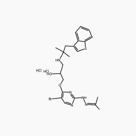 CC(C)=NNc1ncc(Br)c(OCC(O)CNC(C)(C)Cc2csc3ccccc23)n1.Cl.Cl